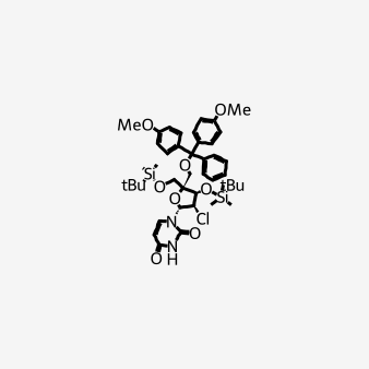 COc1ccc(C(OC[C@]2(CO[Si](C)(C)C(C)(C)C)O[C@@H](n3ccc(=O)[nH]c3=O)[C@H](Cl)[C@@H]2O[Si](C)(C)C(C)(C)C)(c2ccccc2)c2ccc(OC)cc2)cc1